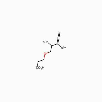 C=C=C(CCC)C(CCC)COCCC(=O)O